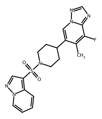 Cc1c(C2CCN(S(=O)(=O)c3cnn4ccccc34)CC2)cn2ncnc2c1F